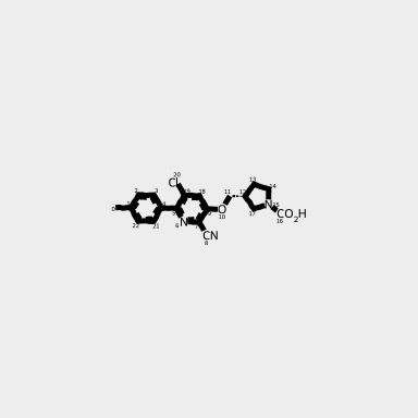 Cc1ccc(-c2nc(C#N)c(OC[C@@H]3CCN(C(=O)O)C3)cc2Cl)cc1